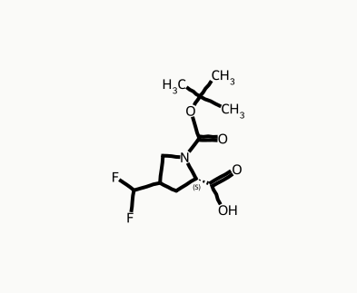 CC(C)(C)OC(=O)N1CC(C(F)F)C[C@H]1C(=O)O